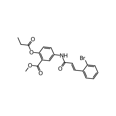 CCC(=O)Oc1ccc(NC(=O)C=Cc2ccccc2Br)cc1C(=O)OC